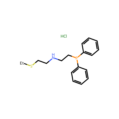 CCSCCNCCP(c1ccccc1)c1ccccc1.Cl